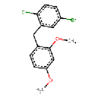 COc1ccc(Cc2cc(Br)ccc2Cl)c(OC)c1